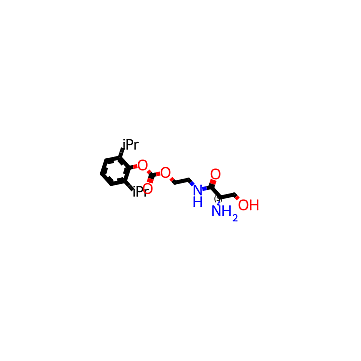 CC(C)c1cccc(C(C)C)c1OC(=O)OCCNC(=O)[C@@H](N)CO